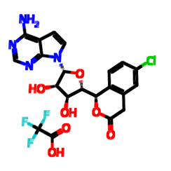 Nc1ncnc2c1ccn2[C@@H]1O[C@H]([C@@H]2OC(=O)Cc3cc(Cl)ccc32)[C@@H](O)[C@H]1O.O=C(O)C(F)(F)F